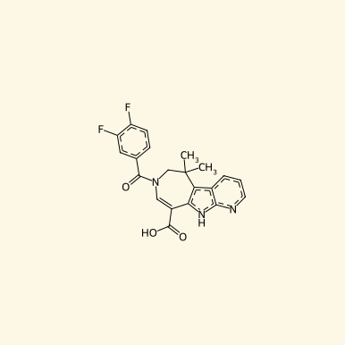 CC1(C)CN(C(=O)c2ccc(F)c(F)c2)C=C(C(=O)O)c2[nH]c3ncccc3c21